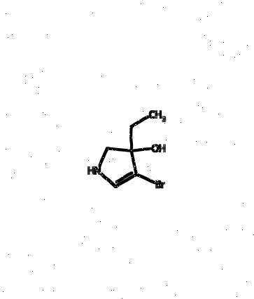 CCC1(O)CNC=C1Br